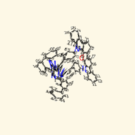 c1ccc(-c2ccc(-n3c4ccccc4c4ccc5c6ccc7c8ccccc8n(-c8ccc(-c9nc(-c%10cccc(-c%11ccccc%11)c%10)nc(-c%10ccccc%10-c%10ccccc%10)n9)cc8)c7c6oc5c43)cc2)cc1